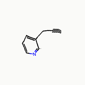 C#CCc1[c]nccc1